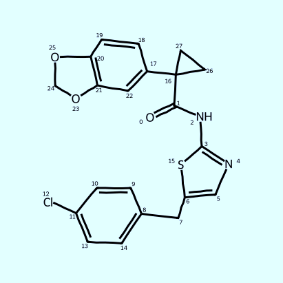 O=C(Nc1ncc(Cc2ccc(Cl)cc2)s1)C1(c2ccc3c(c2)OCO3)CC1